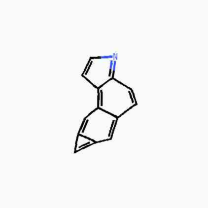 c1cc2c(ccc3cc4cc4cc32)n1